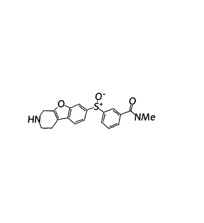 CNC(=O)c1cccc([S+]([O-])c2ccc3c4c(oc3c2)CNCC4)c1